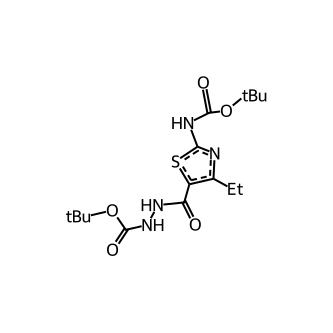 CCc1nc(NC(=O)OC(C)(C)C)sc1C(=O)NNC(=O)OC(C)(C)C